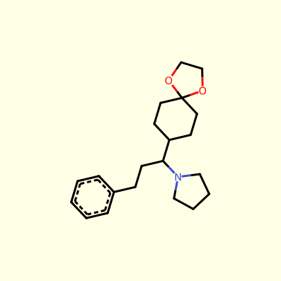 c1ccc(CCC(C2CCC3(CC2)OCCO3)N2CCCC2)cc1